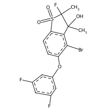 CC1(O)c2c(ccc(Oc3cc(F)cc(F)c3)c2Br)S(=O)(=O)C1(C)F